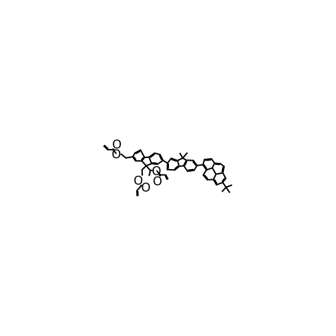 C=CC(=O)OCCc1ccc2c(c1)C(CCOC(=O)C=C)(C(C)OC(=O)C=C)c1cc(-c3ccc4c(c3)C(C)(C)c3cc(C5=C6C=CC7=CC(C(C)(C)C)=CC8=CC=C(C=C5)C6C87)ccc3-4)ccc1-2